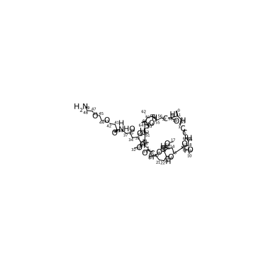 C=C1C[C@@H]2CC[C@@H]3C[C@@H](OC)[C@H](O3)C3C[C@@H](OC)[C@H]4O[C@H](CC[C@@H]4O3)CC(=O)C[C@@H]3[C@@H](OC)[C@@H](C[C@H](O)CNC(=O)CCOCCOCCN)O[C@H]3C[C@H]3O[C@@H](CC[C@@H]1O2)C[C@@H](C)C3=C